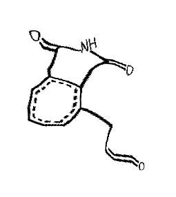 O=CCc1cccc2c1C(=O)NC2=O